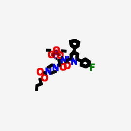 CCCCOC(=O)N1CCN(C(=O)[C@H](CP(=O)(OCC)OCC)NC(=O)c2cc(-c3ccccc3)cc(-c3ccc(F)cc3)n2)CC1